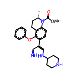 COC(=O)N1c2ccc(/C(C=N)=C/NC3CCNCC3)c(Oc3ccccc3)c2CC[C@@H]1C